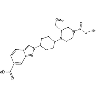 COC[C@@H]1CN(C(=O)OC(C)(C)C)CCN1C1CCC(n2cc3ccc(C(=O)OC)cc3n2)CC1